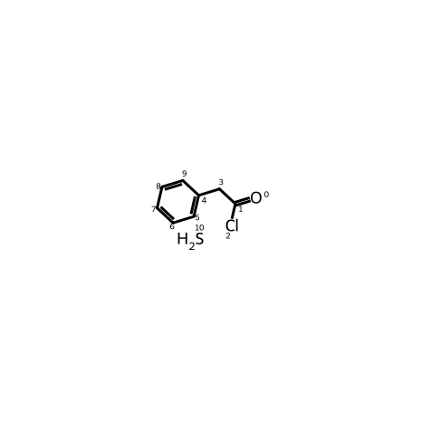 O=C(Cl)Cc1ccccc1.S